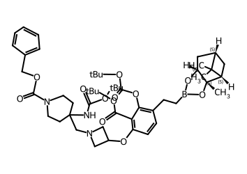 CC(C)(C)OC(=O)NC1(CN2CC(Oc3ccc(CCB4O[C@@H]5C[C@@H]6C[C@@H](C6(C)C)[C@]5(C)O4)c(OC(=O)OC(C)(C)C)c3C(=O)OC(C)(C)C)C2)CCN(C(=O)OCc2ccccc2)CC1